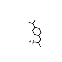 CC(N)CC1CCC(C(C)C)CC1